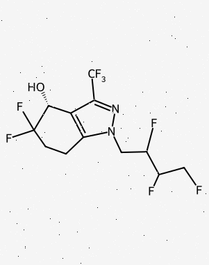 O[C@@H]1c2c(C(F)(F)F)nn(CC(F)C(F)CF)c2CCC1(F)F